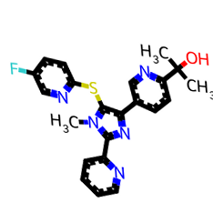 Cn1c(-c2ccccn2)nc(-c2ccc(C(C)(C)O)nc2)c1Sc1ccc(F)cn1